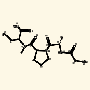 CC(C)CC(C(=O)C(C)(C)C)N(C)C(=O)C1CCCN1C(=O)[C@H](C)NC(=O)OC(C)(C)C